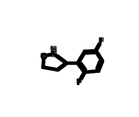 Fc1ccc(F)c(C2CCON2)c1